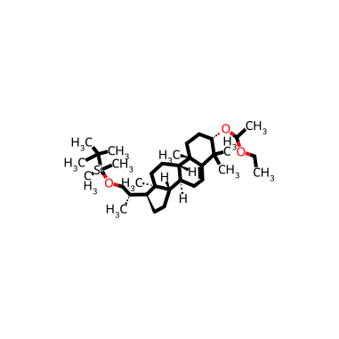 CCOC(C)O[C@H]1CC[C@]2(C)C(=CC[C@H]3[C@@H]4CC[C@@H]([C@H](C)CO[Si](C)(C)C(C)(C)C)[C@@]4(C)CC[C@@H]32)C1(C)C